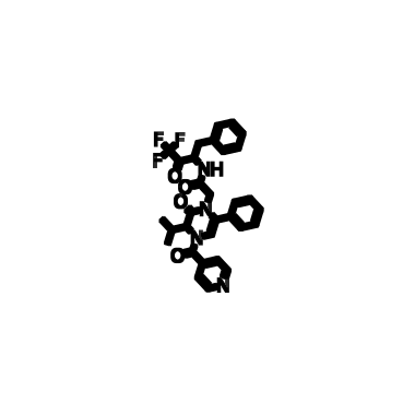 CC(C)C1C(=O)N(CC(=O)NC(Cc2ccccc2)C(=O)C(F)(F)F)C(c2ccccc2)=CN1C(=O)c1ccncc1